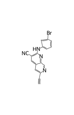 C#Cc1cc2cc(C#N)c(Nc3cccc(Br)c3)nc2cn1